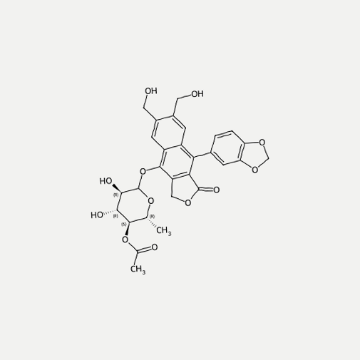 CC(=O)O[C@H]1[C@H](O)[C@@H](O)C(Oc2c3c(c(-c4ccc5c(c4)OCO5)c4cc(CO)c(CO)cc24)C(=O)OC3)O[C@@H]1C